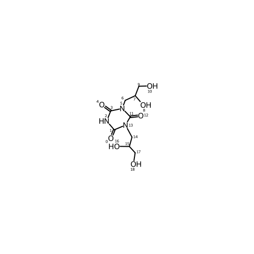 O=c1[nH]c(=O)n(CC(O)CO)c(=O)n1CC(O)CO